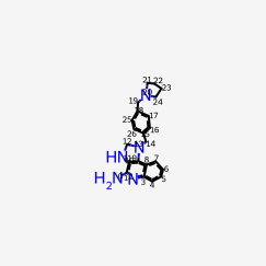 Nc1nc2ccccc2c2c1NCN2Cc1ccc(CN2CCCC2)cc1